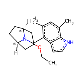 CCOC1C[C@H]2CC[C@@H](C1)N2Cc1c(C)cc(C)c2[nH]ccc12